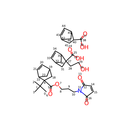 CC(C)(C)C1(C(=O)OCCCN2C(=O)C=CC2=O)CC2C=CC1C2.O=C(O)C1(CCO)CC2C=CC1C2.O=C(O)C1CC2C=CC1C2